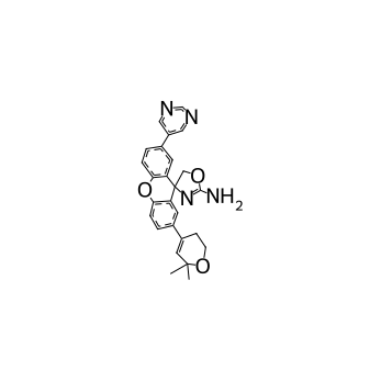 CC1(C)C=C(c2ccc3c(c2)C2(COC(N)=N2)c2cc(-c4cncnc4)ccc2O3)CCO1